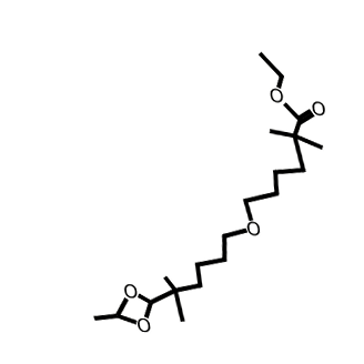 CCOC(=O)C(C)(C)CCCCOCCCCC(C)(C)C1OC(C)O1